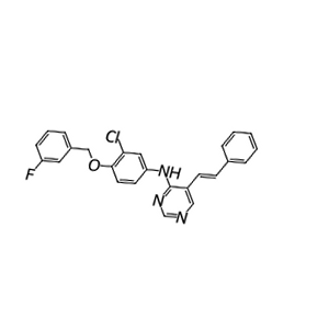 Fc1cccc(COc2ccc(Nc3ncncc3/C=C/c3ccccc3)cc2Cl)c1